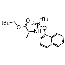 C[C@H](NP(=O)(Oc1cccc2ccccc12)C(C)(C)C)C(=O)OCC(C)(C)C